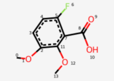 COc1ccc(F)c(C(=O)O)c1OC